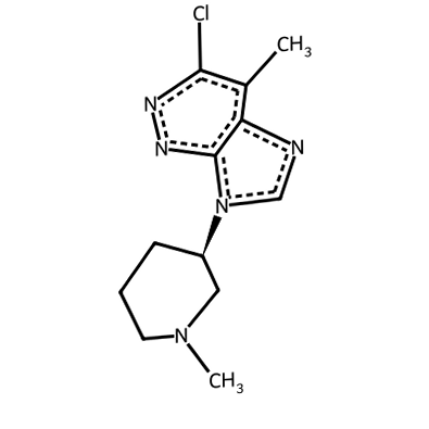 Cc1c(Cl)nnc2c1ncn2[C@@H]1CCCN(C)C1